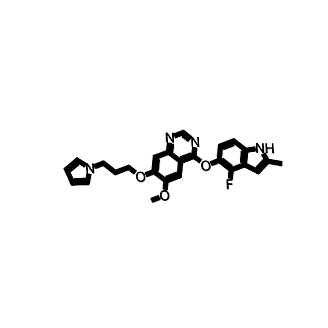 COc1cc2c(Oc3ccc4[nH]c(C)cc4c3F)ncnc2cc1OCCCn1cccc1